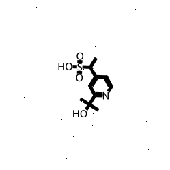 CC(c1ccnc(C(C)(C)O)c1)S(=O)(=O)O